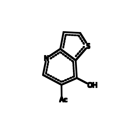 CC(=O)c1cnc2ccsc2c1O